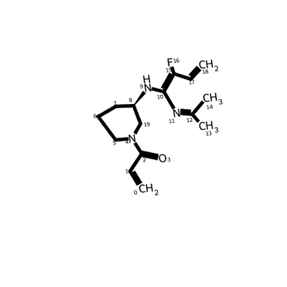 C=CC(=O)N1CCC[C@@H](N/C(N=C(C)C)=C(\F)C=C)C1